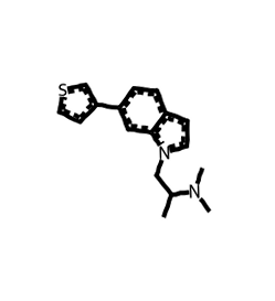 CC(Cn1ccc2ccc(-c3ccsc3)cc21)N(C)C